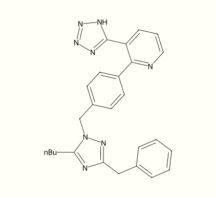 CCCCc1nc(Cc2ccccc2)nn1Cc1ccc(-c2ncccc2-c2nnn[nH]2)cc1